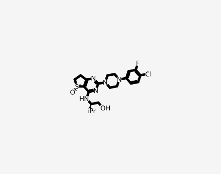 CC(C)[C@H](CO)Nc1nc(N2CCN(c3ccc(Cl)c(F)c3)CC2)nc2c1[S+]([O-])CC2